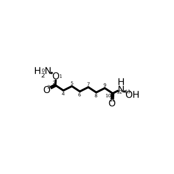 NOC(=O)CCCCCCC(=O)NO